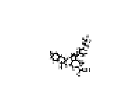 Cc1ccc(NC(=O)CC(CCC(=O)O)c2noc(-c3cc(C(F)(F)C(C)(C)C)on3)c2C2CC2)c(Cl)c1